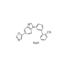 N#Cc1ccccc1-c1cccc(-n2cnc3cc(-c4cnco4)ccc32)c1.[NaH]